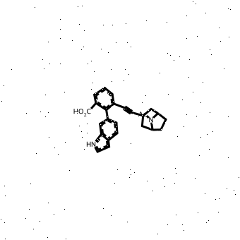 CC(=O)N1C2CCC1CC(C#Cc1cccc(C(=O)O)c1-c1ccc3cc[nH]c3c1)C2